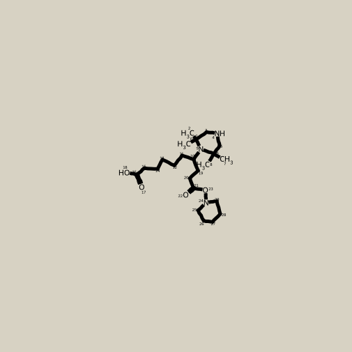 CC1(C)CNCC(C)(C)N1C(CCCCCC(=O)O)CCC(=O)ON1CCCCC1